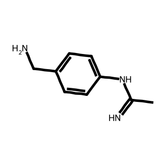 CC(=N)Nc1ccc(CN)cc1